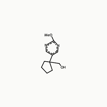 COc1ncc(C2(CO)CCCC2)cn1